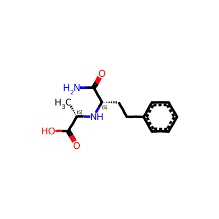 C[C@H](N[C@@H](CCc1ccccc1)C(N)=O)C(=O)O